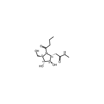 CCCC(=O)N1[C@H](CO)[C@@H](O)[C@H](O)[C@H]1CC(=O)NC